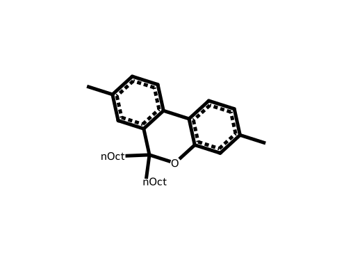 CCCCCCCCC1(CCCCCCCC)Oc2cc(C)ccc2-c2ccc(C)cc21